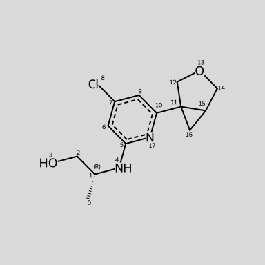 C[C@H](CO)Nc1cc(Cl)cc(C23COCC2C3)n1